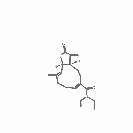 C=C1C(=O)O[C@@H]2/C=C(\C)CC/C=C(/C(=O)N(CC)CC)CC[C@@H]12